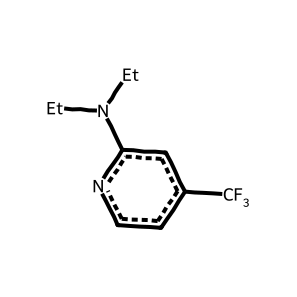 CCN(CC)c1cc(C(F)(F)F)ccn1